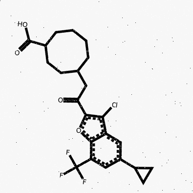 O=C(CC1CCCCC(C(=O)O)CC1)c1oc2c(C(F)(F)F)cc(C3CC3)cc2c1Cl